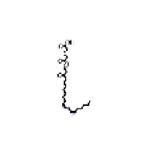 CCCCC/C=C\C/C=C\CCCCCCCC(=O)CCOC(=O)CSCC(=O)O